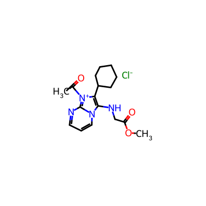 COC(=O)CNc1c(C2CCCCC2)[n+](C(C)=O)c2ncccn12.[Cl-]